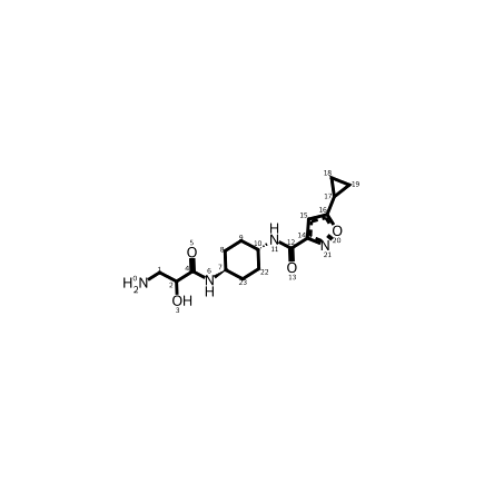 NCC(O)C(=O)N[C@H]1CC[C@H](NC(=O)c2cc(C3CC3)on2)CC1